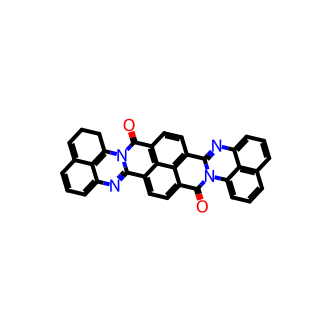 O=c1c2ccc3c4c(ccc(c24)c2nc4cccc5c4c(n12)CCC=5)c(=O)n1c2cccc4cccc(nc31)c42